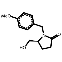 COc1ccc(CN2C(=O)CC[C@H]2CO)cc1